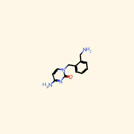 NCc1ccccc1Cn1ccc(N)nc1=O